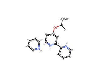 COC(C)Oc1cc(-c2ccccn2)nc(-c2ccccn2)c1